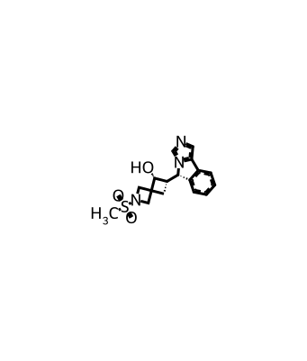 CS(=O)(=O)N1CC2(C[C@@H]([C@H]3c4ccccc4-c4cncn43)[C@H]2O)C1